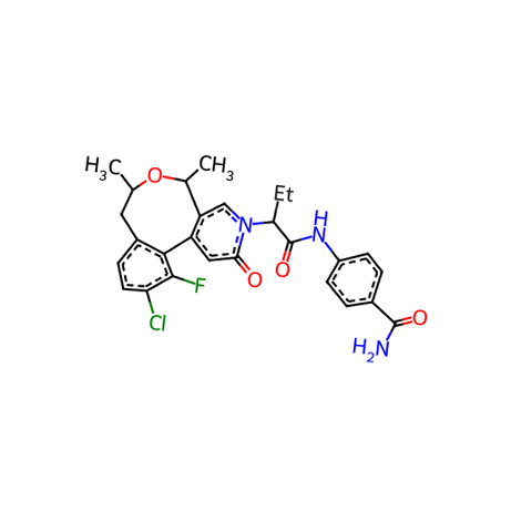 CCC(C(=O)Nc1ccc(C(N)=O)cc1)n1cc2c(cc1=O)-c1c(ccc(Cl)c1F)CC(C)OC2C